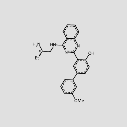 CC[C@@H](N)CNc1nc(-c2cc(-c3cccc(OC)c3)ccc2O)nc2ccccc12